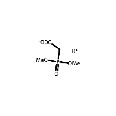 COP(=O)(CC(=O)[O-])OC.[K+]